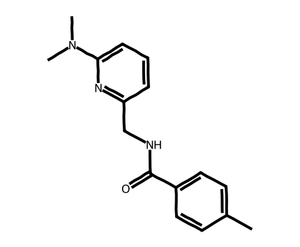 Cc1ccc(C(=O)NCc2cccc(N(C)C)n2)cc1